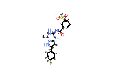 CCC(C)N/C(=N/C(=O)c1cccc(S(C)(=O)=O)c1)Nc1cc(-c2ccc(F)cc2)[nH]n1